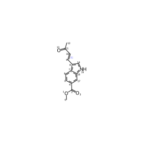 COC(=O)c1ccc2c(/C=C/C(C)=O)c[nH]c2c1